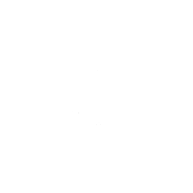 CCCCOC(=O)CC1C=CC(C)C1